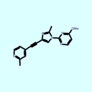 COc1ccnc(-n2cc(C#Cc3ccnc(C)c3)nc2C)n1